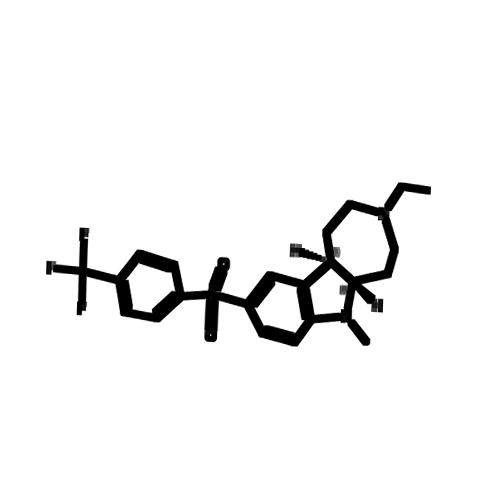 CCN1CC[C@@H]2c3cc(S(=O)(=O)c4ccc(C(F)(F)F)cc4)ccc3N(C)[C@H]2CC1